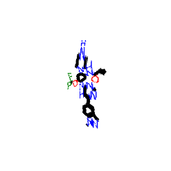 C=CC(=O)Nc1cc(Nc2cc(-c3ccc4c(cnn4C)c3)ncn2)c(OC(F)F)cc1N1CCNCC1